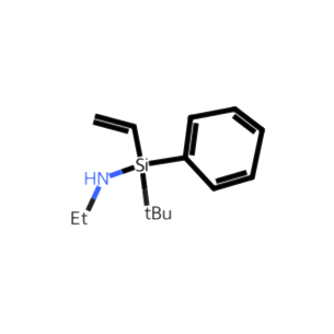 C=C[Si](NCC)(c1ccccc1)C(C)(C)C